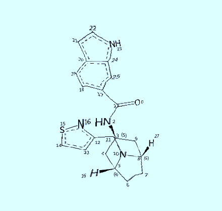 O=C(N[C@@H]1C[C@H]2CC[C@@H](C1)N2Cc1ccsn1)c1ccc2cc[nH]c2c1